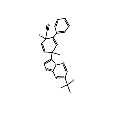 N#CC1(F)C=CC(F)(c2cnc3nc(C(F)(F)F)cnn23)C=C1c1ccccc1